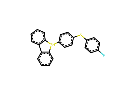 Fc1ccc(Sc2ccc([SH]3c4ccccc4-c4ccccc43)cc2)cc1